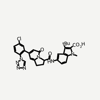 Cn1c(C(=O)O)c(C(C)(C)C)c2cc(NC(=O)C3CCc4cc(-c5cc(Cl)ccc5-n5cnnn5)cc(=O)n43)ccc21